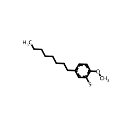 CCCCCCCCc1ccc(OC)c([S])c1